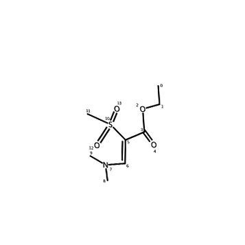 CCOC(=O)/C(=C/N(C)C)S(C)(=O)=O